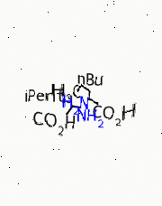 CCCC[C@@H](C)C[C@H](N)CC(=O)O.CCC[C@@H](C)C[C@H](CN)CC(=O)O